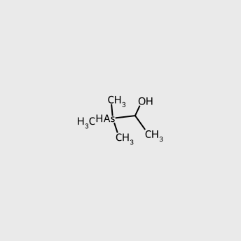 CC(O)[AsH](C)(C)C